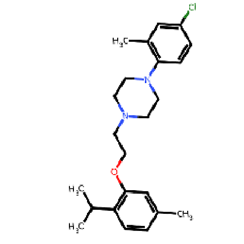 Cc1ccc(C(C)C)c(OCCN2CCN(c3ccc(Cl)cc3C)CC2)c1